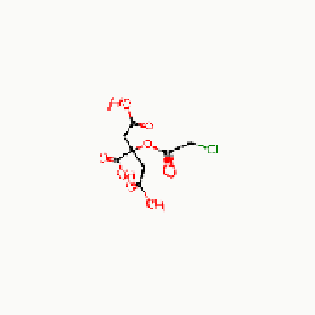 O=C(O)CC(CC(=O)O)(OC(=O)CCl)C(=O)O